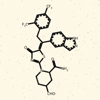 NC(=O)C1CC([C]=O)CCN1C1=NC(=O)C(=C(Cc2ccc(C(F)(F)F)cc2C(F)(F)F)c2ccc3[nH]ncc3c2)S1